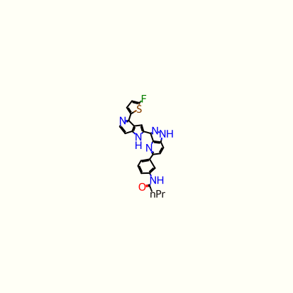 CCCC(=O)Nc1cccc(-c2ccc3[nH]nc(-c4cc5c(-c6ccc(F)s6)nccc5[nH]4)c3n2)c1